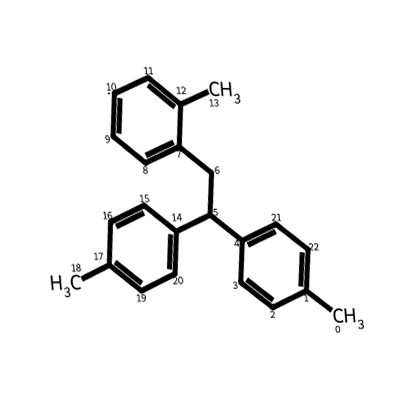 Cc1ccc(C(Cc2cc[c]cc2C)c2ccc(C)cc2)cc1